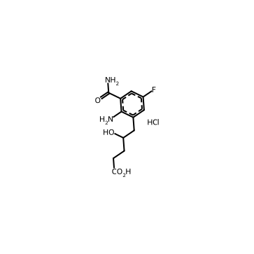 Cl.NC(=O)c1cc(F)cc(CC(O)CCC(=O)O)c1N